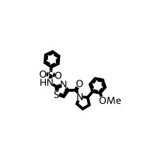 COc1ccccc1C1CCCN1C(=O)c1csc(NS(=O)(=O)c2ccccc2)n1